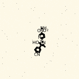 Cc1nn(-c2ccc(S(N)(=O)=O)cn2)c(O)c1-c1ccc(C#N)cc1